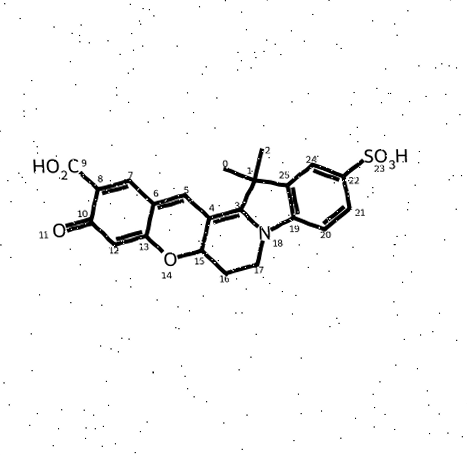 CC1(C)C2=C3C=C4C=C(C(=O)O)C(=O)C=C4OC3CCN2c2ccc(S(=O)(=O)O)cc21